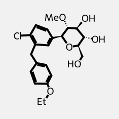 CCOc1ccc(Cc2cc([C@@H]3O[C@H](CO)[C@@H](O)[C@H](O)[C@H]3OC)ccc2Cl)cc1